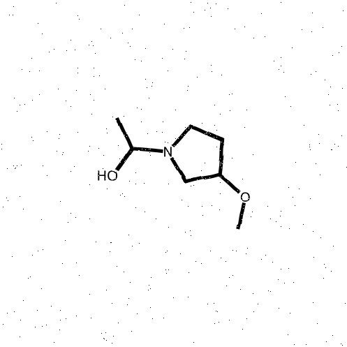 COC1CCN(C(C)O)C1